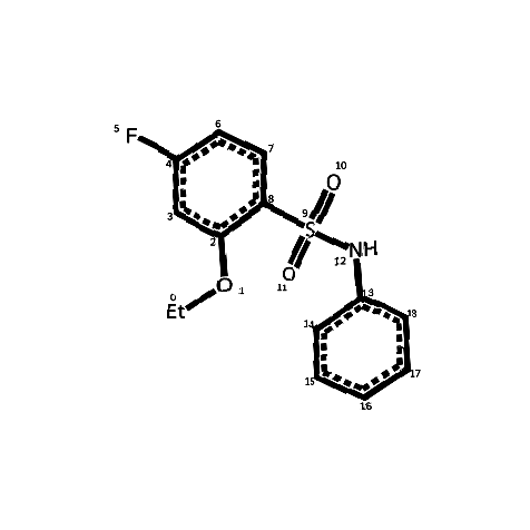 CCOc1cc(F)ccc1S(=O)(=O)Nc1ccccc1